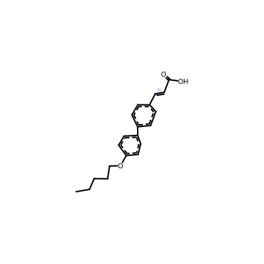 CCCCCOc1ccc(-c2ccc(/C=C/C(=O)O)cc2)cc1